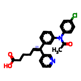 CC(=O)N(c1ccc(Cl)cc1)c1cccc(/C(=C/CCCC(=O)O)c2cccnc2)c1